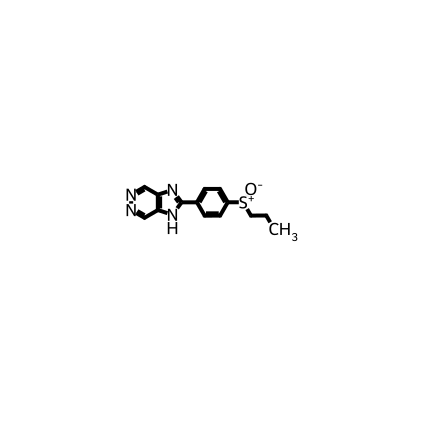 CCC[S+]([O-])c1ccc(-c2nc3cnncc3[nH]2)cc1